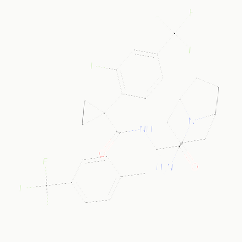 NC1CC2CCC(C1)N2C(=O)[C@H](Cc1ccc(C(F)(F)F)cc1)NC(=O)C1(c2ccc(C(F)(F)F)cc2F)CC1